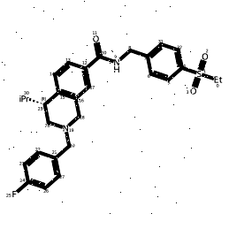 CCS(=O)(=O)c1ccc(CNC(=O)c2ccc3c(c2)CN(Cc2ccc(F)cc2)C[C@@H]3C(C)C)cc1